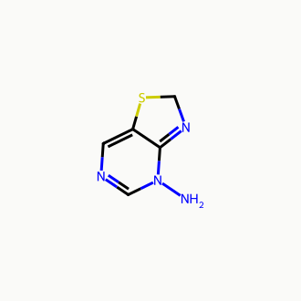 NN1C=NC=C2SCN=C21